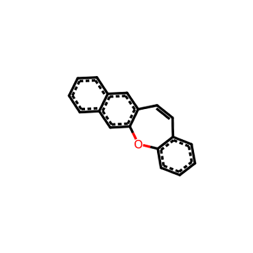 C1=Cc2cc3ccccc3cc2Oc2ccccc21